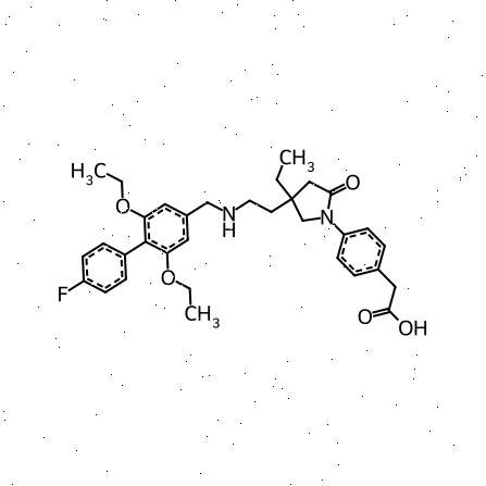 CCOc1cc(CNCCC2(CC)CC(=O)N(c3ccc(CC(=O)O)cc3)C2)cc(OCC)c1-c1ccc(F)cc1